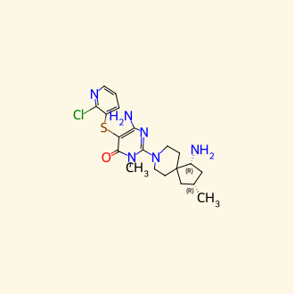 C[C@H]1C[C@@H](N)C2(CCN(c3nc(N)c(Sc4cccnc4Cl)c(=O)n3C)CC2)C1